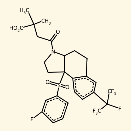 CC(C)(CC(=O)N1CCC2(S(=O)(=O)c3cccc(F)c3)c3ccc(C(F)(C(F)(F)F)C(F)(F)F)cc3CCC12)C(=O)O